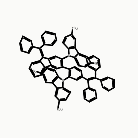 CC(C)(C)c1ccc2c(c1)c1cc(C(C)(C)C)ccc1n2-c1cc(C(=C(c2ccccc2)c2ccccc2)c2ccccc2)ccc1-c1cc2c(cc1-n1c3ccc(C(C)(C)C)cc3c3cc(C(C)(C)C)ccc31)C(=C(c1ccccc1)c1ccccc1)c1ccccc1-2